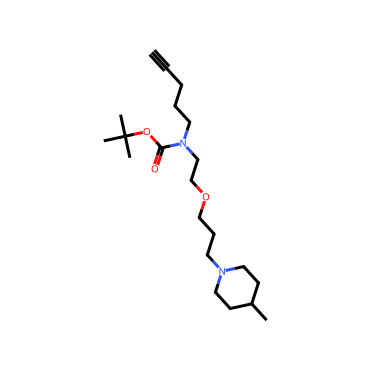 C#CCCCN(CCOCCCN1CCC(C)CC1)C(=O)OC(C)(C)C